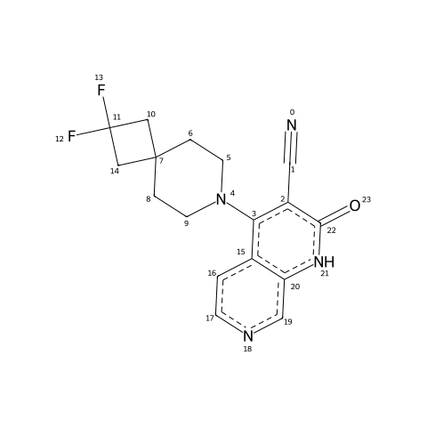 N#Cc1c(N2CCC3(CC2)CC(F)(F)C3)c2ccncc2[nH]c1=O